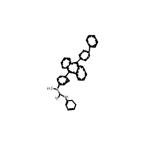 CCC(NC1=CC=CCC1)N(C)c1ccc(-c2c3ccccc3c(-c3ccc(-c4ccccc4)cc3)c3ccccc23)cc1